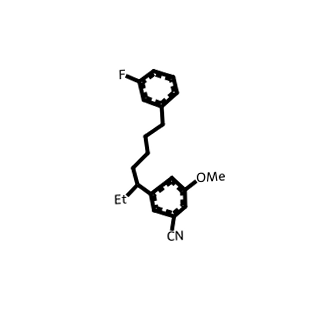 CCC(CCCCc1cccc(F)c1)c1cc(C#N)cc(OC)c1